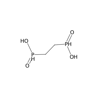 O=[PH](O)CC[PH](=O)O